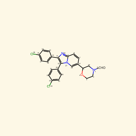 O=CN1CCOC(c2ccc3nc(-c4ccc(Cl)cc4)c(-c4ccc(Cl)cc4)n3c2)C1